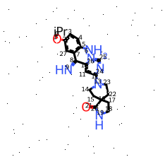 CC(C)Oc1ccc(N)c(C(=N)c2cc(N3CCC4(CCNC4=O)CC3)ncn2)c1